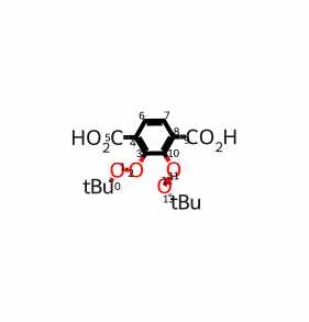 CC(C)(C)OOc1c(C(=O)O)ccc(C(=O)O)c1OOC(C)(C)C